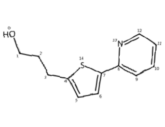 OCCCc1ccc(-c2ccccn2)s1